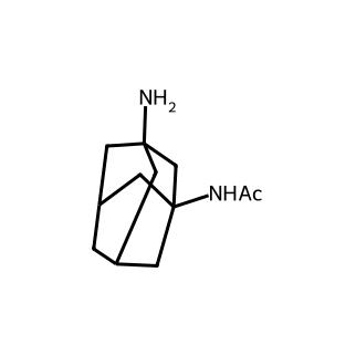 CC(=O)NC12CC3CC(CC(N)(C3)C1)C2